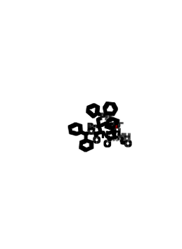 O=CN[C@@H]1C(=O)N2C(C(=O)OC(c3ccccc3)c3ccccc3)C(Br)(C[PH](c3ccccc3)(c3ccccc3)c3ccccc3)C[S@+]([O-])[C@H]12